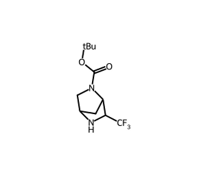 CC(C)(C)OC(=O)N1CC2CC1C(C(F)(F)F)N2